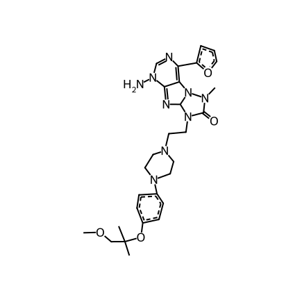 COCC(C)(C)Oc1ccc(N2CCN(CCN3C(=O)N(C)N4C5=C(c6ccco6)N=CN(N)C5=NC34)CC2)cc1